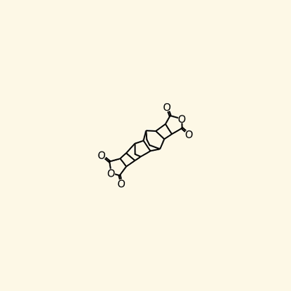 O=C1OC(=O)C2C1C1C3CCC(C4C5CC(C34)C3C4C(=O)OC(=O)C4C53)C21